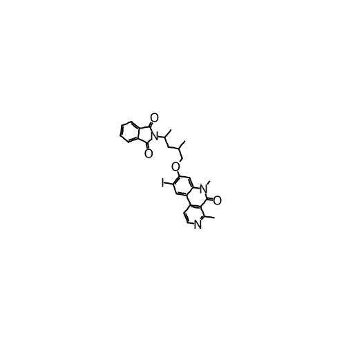 Cc1nccc2c1c(=O)n(C)c1cc(OCC(C)CC(C)N3C(=O)c4ccccc4C3=O)c(I)cc21